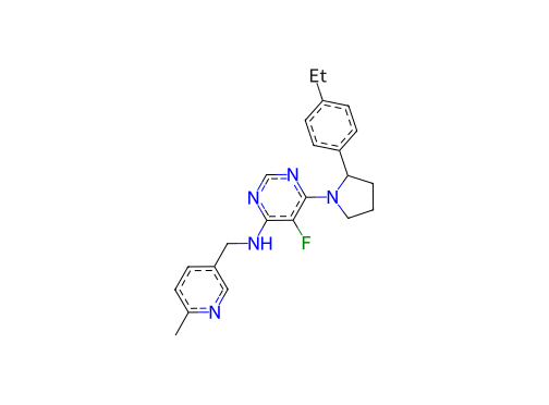 CCc1ccc(C2CCCN2c2ncnc(NCc3ccc(C)nc3)c2F)cc1